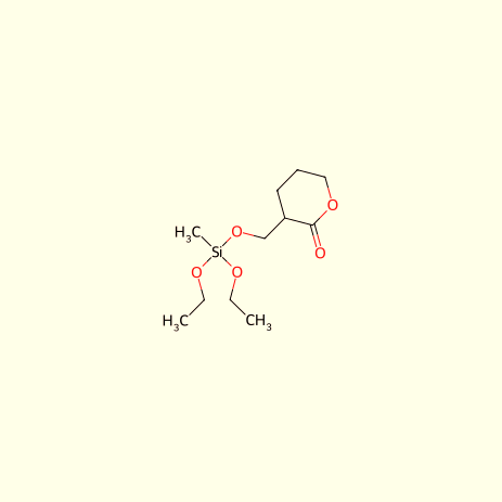 CCO[Si](C)(OCC)OCC1CCCOC1=O